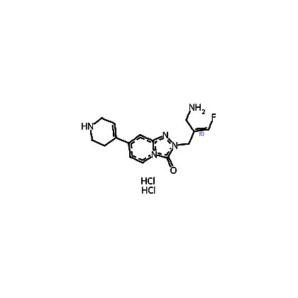 Cl.Cl.NC/C(=C\F)Cn1nc2cc(C3=CCNCC3)ccn2c1=O